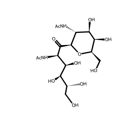 CC(=O)N[C@@H]1[C@@H](O)[C@@H](O)[C@@H](CO)O[C@H]1C(=O)[C@H](NC(C)=O)[C@@H](O)[C@H](O)[C@H](O)CO